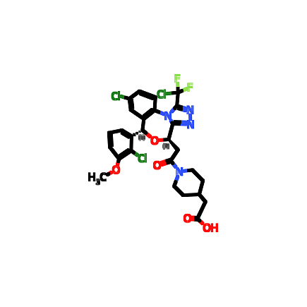 COc1cccc([C@H]2O[C@H](CC(=O)N3CCC(CC(=O)O)CC3)c3nnc(C(F)(F)Cl)n3-c3ccc(Cl)cc32)c1Cl